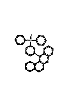 O=P(c1ccccc1)(c1ccccc1)c1cccc(-c2c3ccccc3nc3ccc4ccccc4c23)c1